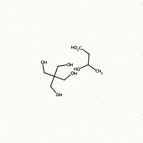 CC(O)CC(=O)O.OCC(CO)(CO)CO